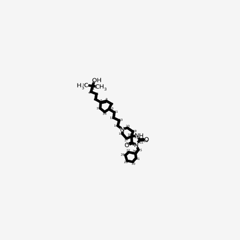 CC(C)(O)CCCC1=CCC(CCCCN2CCC3(CC2)NC(=O)N(CC2CCCCC2)C3=O)CC1